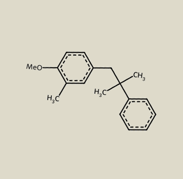 COc1ccc(CC(C)(C)c2ccccc2)cc1C